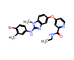 CCNC(=O)c1cc(Oc2ccc3c(c2)nc(Nc2ccc(Br)c(C)c2)n3C)ccn1